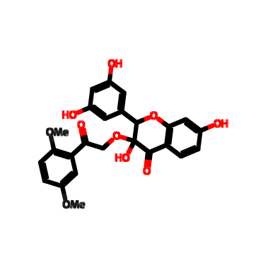 COc1ccc(OC)c(C(=O)COC2(O)C(=O)c3ccc(O)cc3OC2c2cc(O)cc(O)c2)c1